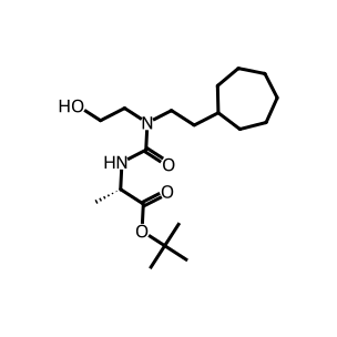 C[C@H](NC(=O)N(CCO)CCC1CCCCCC1)C(=O)OC(C)(C)C